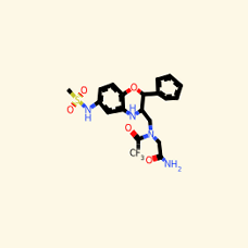 CS(=O)(=O)Nc1ccc2c(c1)NC(CN(CC(N)=O)C(=O)C(F)(F)F)C(c1ccccc1)O2